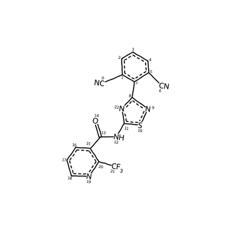 N#Cc1cccc(C#N)c1-c1nsc(NC(=O)c2cccnc2C(F)(F)F)n1